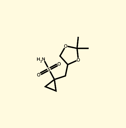 CC1(C)OCC(CC2(S(N)(=O)=O)CC2)O1